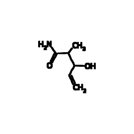 C=CC(O)C(C)C(N)=O